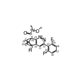 CON(C)C(=O)[C@]12CC[C@H](c3cc(-c4c(F)cccc4F)nnc31)C2(C)C